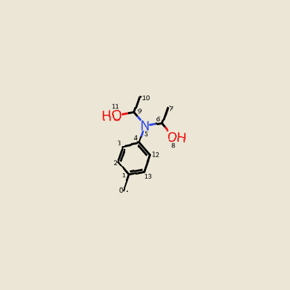 [CH2]c1ccc(N(C(C)O)C(C)O)cc1